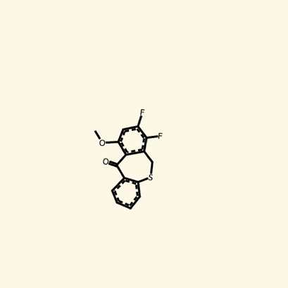 COc1cc(F)c(F)c2c1C(=O)c1ccccc1SC2